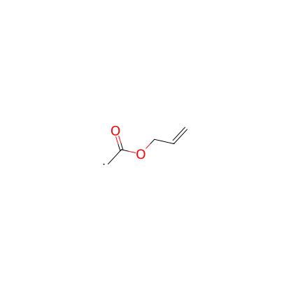 [CH2]C(=O)OCC=C